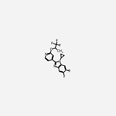 CC(Oc1cc(-c2nc3cc(F)c(F)cc3n2C2CC2)ccn1)C(F)(F)F